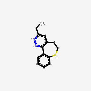 CCc1cc2c(nn1)-c1ccccc1SCC2